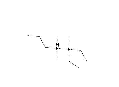 CCC[PH](C)(C)[PH](C)(CC)CC